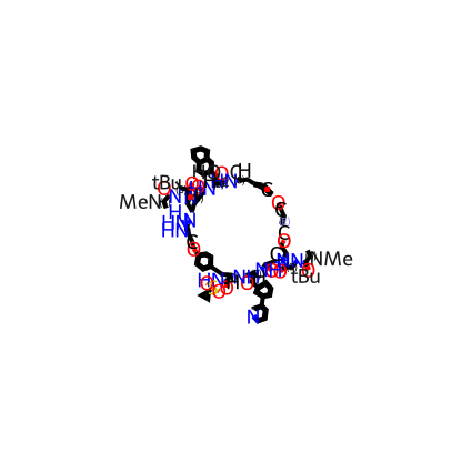 CN[C@@H](C)C(=O)N[C@H](C(=O)N1CC2CC1C(=O)N[C@@H](Cc1cccc(-c3cccnc3)c1)C(=O)N[C@H](C(=O)NS(=O)(=O)C1CC1)Cc1ccc(cc1)OCC1=CN(NN1)C1C[C@@H](C(=O)N[C@@H](Cc3ccc4ccccc4c3)C(=O)N[C@H](C(=O)O)Cc3ccc(cc3)OC/C=C/CO2)N(C(=O)[C@@H](NC(=O)[C@H](C)NC)C(C)(C)C)C1)C(C)(C)C